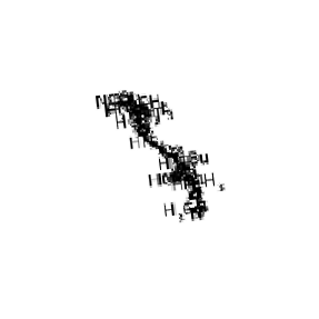 Cc1ncsc1-c1ccc([C@H](C)NC(=O)[C@@H]2C[C@@H](O)CN2C(=O)[C@@H](NC(=O)COCCCCNc2ccc(C(O)N[C@H]3C(C)(C)[C@H](Oc4ccc(C#N)c(Cl)c4)C3(C)C)cc2)C(C)(C)C)cc1